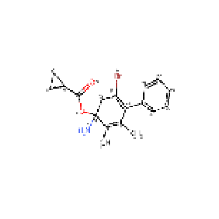 CC1=C(C#N)C(N)(OC(=O)C2CC2)CC(Br)=C1c1ccccc1